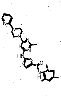 Cc1cc(C)c(NC(=O)c2cnc(Nc3nc(C)nc(N4CCN(c5ccccn5)CC4)n3)s2)c(C)c1